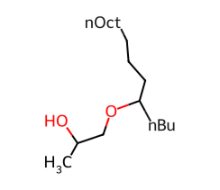 CCCCCCCCCCCC(CCCC)OCC(C)O